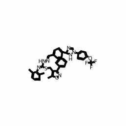 Cc1cccc(C)c1/N=C(/N/N=C/c1ccc(C2N=CN(c3ccc(OC(F)(F)F)cc3)N2)cc1)SCc1c(-c2ccccc2)noc1C